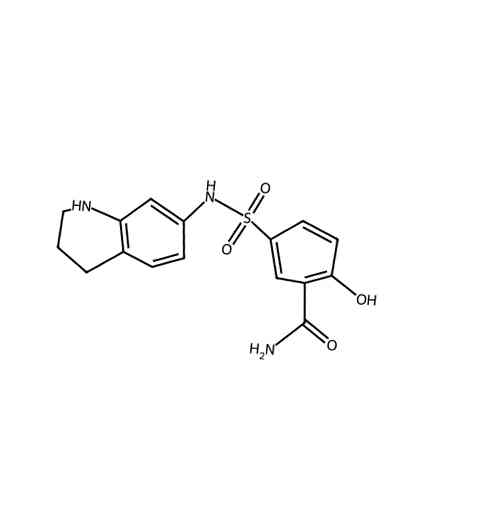 NC(=O)c1cc(S(=O)(=O)Nc2ccc3c(c2)NCCC3)ccc1O